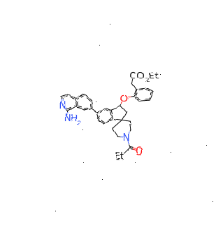 CCOC(=O)Cc1ccccc1OC1CC2(CCN(C(=O)CC)CC2)c2ccc(-c3ccc4ccnc(N)c4c3)cc21